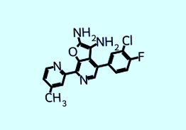 Cc1ccnc(-c2ncc(-c3ccc(F)c(Cl)c3)c3c(N)c(N)oc23)c1